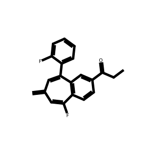 C=C1C=C(F)c2ccc(C(=O)CC)cc2C(c2ccccc2F)=C1